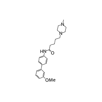 COc1cccc(-c2ccc(NC(=O)CCCCN3CCN(C)CC3)cc2)c1